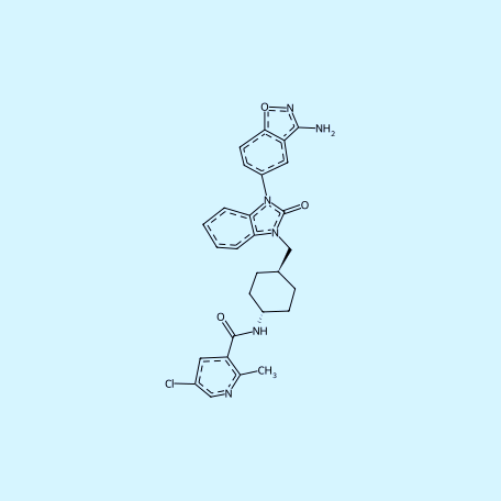 Cc1ncc(Cl)cc1C(=O)N[C@H]1CC[C@H](Cn2c(=O)n(-c3ccc4onc(N)c4c3)c3ccccc32)CC1